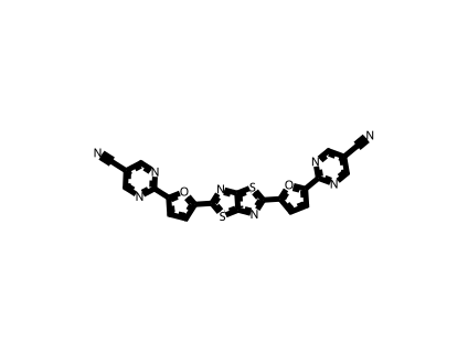 N#Cc1cnc(-c2ccc(-c3nc4sc(-c5ccc(-c6ncc(C#N)cn6)o5)nc4s3)o2)nc1